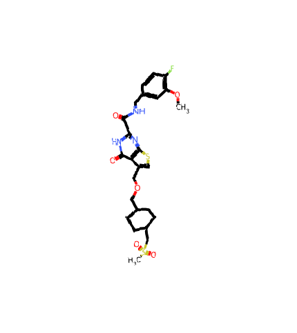 COc1cc(CNC(=O)c2nc3scc(COCC4CCC(CS(C)(=O)=O)CC4)c3c(=O)[nH]2)ccc1F